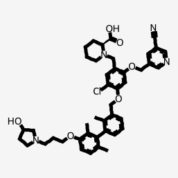 Cc1ccc(OCCCN2CCC(O)C2)c(C)c1-c1cccc(COc2cc(OCc3cncc(C#N)c3)c(CN3CCCC[C@H]3C(=O)O)cc2Cl)c1C